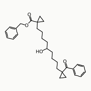 O=C(OCc1ccccc1)C1(CCCCC(O)CCCCC2(C(=O)c3ccccc3)CC2)CC1